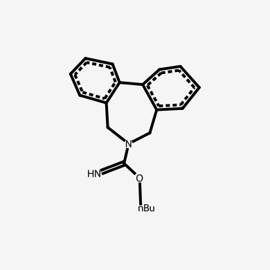 CCCCOC(=N)N1Cc2ccccc2-c2ccccc2C1